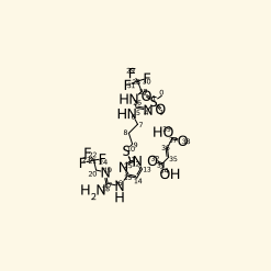 CS(=O)(=O)N=C(NCCCSc1nccc(NC(N)=NCC(F)(F)F)n1)NCC(F)(F)F.O=C(O)C=CC(=O)O